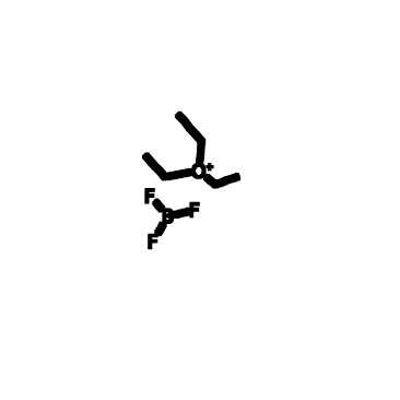 CC[O+](CC)CC.FB(F)F